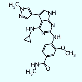 CNC(=O)c1ccc(Nc2nc(NC3CC3)c3c(-c4cnn(C)c4)c[nH]c3n2)c(OC)c1